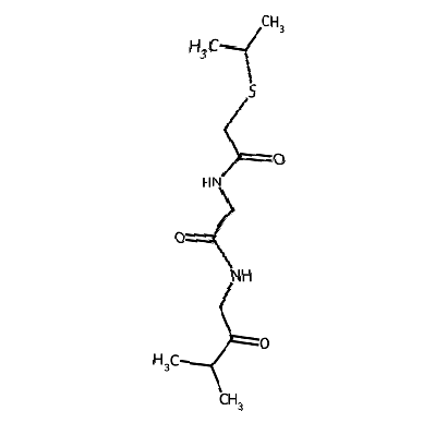 CC(C)SCC(=O)NCC(=O)NCC(=O)C(C)C